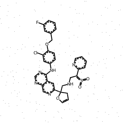 O=S(=O)=C(CNCC1(c2cc3c(Nc4ccc(OCc5cccc(F)c5)c(Cl)c4)ncnc3cn2)CC=CO1)c1ccccn1